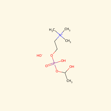 CC(O)OP(=O)(O)OCC[N+](C)(C)C.[OH-]